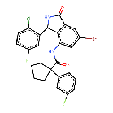 O=C1NC(c2cc(F)ccc2Cl)c2c(NC(=O)C3(c4cccc(F)c4)CCCC3)cc(Br)cc21